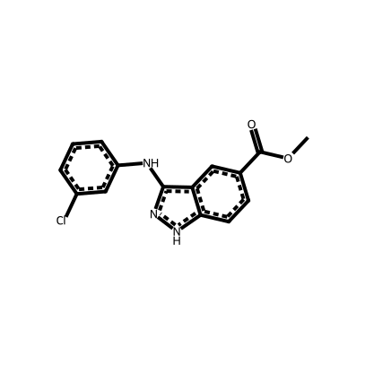 COC(=O)c1ccc2[nH]nc(Nc3cccc(Cl)c3)c2c1